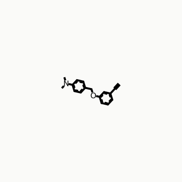 C#Cc1cccc(OCc2ccc(N(C)C)cc2)c1